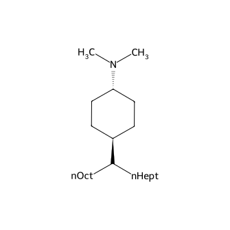 CCCCCCCCC(CCCCCCC)[C@H]1CC[C@H](N(C)C)CC1